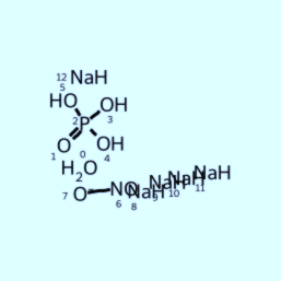 O.O=P(O)(O)O.O=[NH+][O-].[NaH].[NaH].[NaH].[NaH].[NaH]